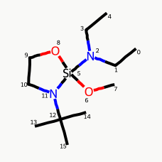 CCN(CC)[Si]1(OC)OCCN1C(C)(C)C